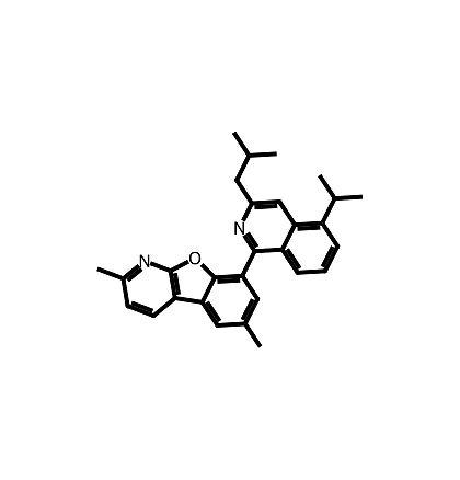 Cc1cc(-c2nc(CC(C)C)cc3c(C(C)C)cccc23)c2oc3nc(C)ccc3c2c1